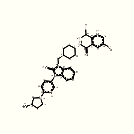 O=C(N[C@H]1CC[C@H](Cn2c(=O)n(-c3ccc(N4CC[C@@H](O)C4)nc3)c3ccccc32)CC1)c1cc(Cl)cnc1C(F)F